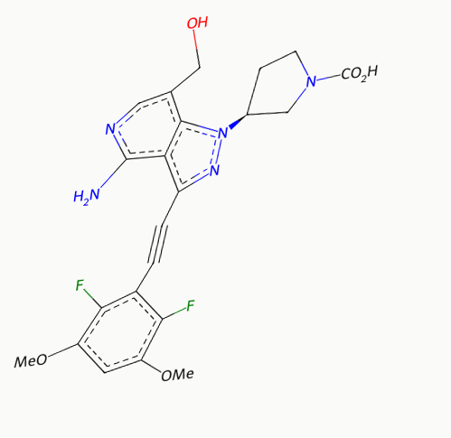 COc1cc(OC)c(F)c(C#Cc2nn([C@H]3CCN(C(=O)O)C3)c3c(CO)cnc(N)c23)c1F